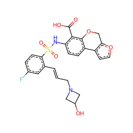 O=C(O)c1c(NS(=O)(=O)c2ccc(F)cc2C=CCN2CC(O)C2)ccc2c1OCc1occc1-2